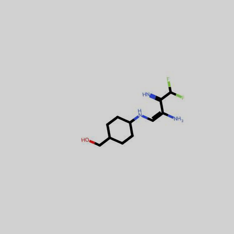 N=C(/C(N)=C\NC1CCC(CO)CC1)C(F)F